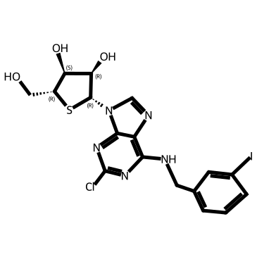 OC[C@H]1S[C@@H](n2cnc3c(NCc4cccc(I)c4)nc(Cl)nc32)[C@H](O)[C@@H]1O